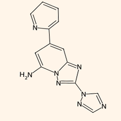 Nc1cc(-c2ccccn2)cc2nc(-n3cncn3)nn12